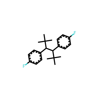 CC(C)(C)C(c1ccc(F)cc1)C(c1ccc(F)cc1)C(C)(C)C